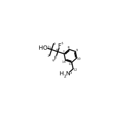 CC(C)(O)C(F)(F)c1cccc(CN)c1